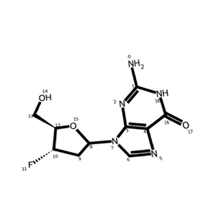 Nc1nc2c(ncn2C2C[C@H](F)[C@@H](CO)O2)c(=O)[nH]1